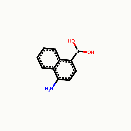 Nc1ccc(B(O)O)c2ccccc12